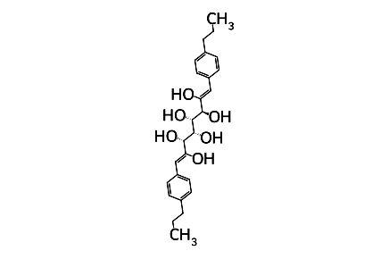 CCCc1ccc(C=C(O)[C@@H](O)[C@@H](O)[C@H](O)[C@@H](O)C(O)=Cc2ccc(CCC)cc2)cc1